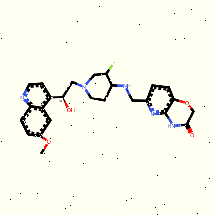 COc1ccc2nccc([C@H](O)CN3CCC(NCc4ccc5c(n4)NC(=O)CO5)C(F)C3)c2c1